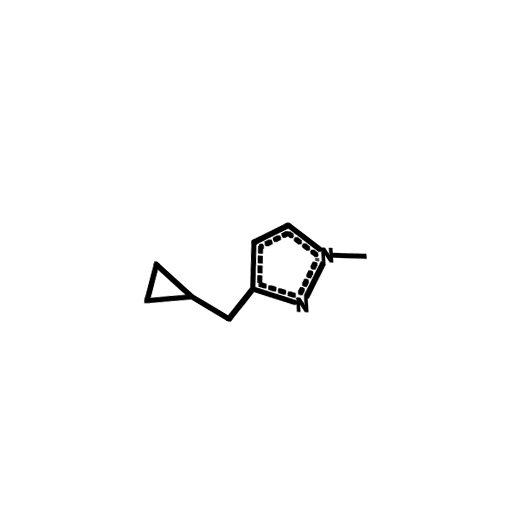 Cn1ccc(CC2CC2)n1